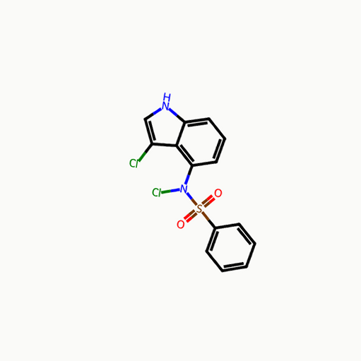 O=S(=O)(c1ccccc1)N(Cl)c1cccc2[nH]cc(Cl)c12